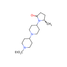 CCOC(=O)N1CCC(N2CCC(N3C(=O)CC[C@H]3C)CC2)CC1